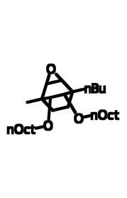 CCCCCCCCOC1C(OCCCCCCCC)C2(CCCC)CCC1(C)C1OC12